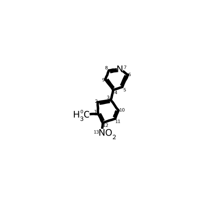 Cc1cc(-c2ccncc2)ccc1[N+](=O)[O-]